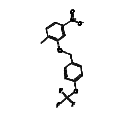 Cc1ccc([N+](=O)[O-])cc1OCc1ccc(OC(F)(F)F)cc1